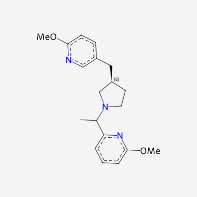 COc1ccc(C[C@H]2CCN(C(C)c3cccc(OC)n3)C2)cn1